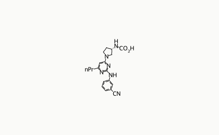 CCCc1cc(N2CC[C@H](NC(=O)O)C2)nc(Nc2cccc(C#N)c2)n1